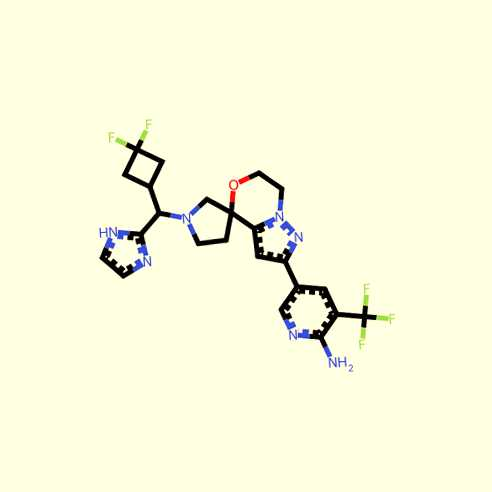 Nc1ncc(-c2cc3n(n2)CCOC32CCN(C(c3ncc[nH]3)C3CC(F)(F)C3)C2)cc1C(F)(F)F